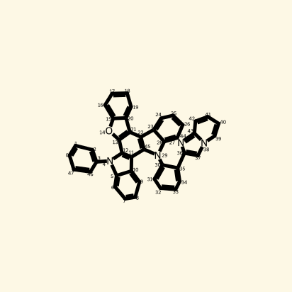 c1ccc(-n2c3ccccc3c3c2c2oc4ccccc4c2c2c4ccccc4n(-c4ccccc4-c4cn5ccccc5n4)c23)cc1